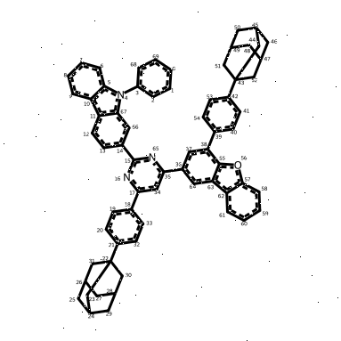 c1ccc(-n2c3ccccc3c3ccc(-c4nc(-c5ccc(C67CC8CC(CC(C8)C6)C7)cc5)cc(-c5cc(-c6ccc(C78CC9CC(CC(C9)C7)C8)cc6)c6oc7ccccc7c6c5)n4)cc32)cc1